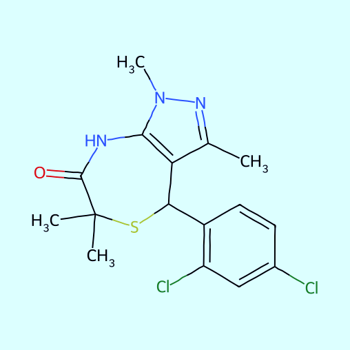 Cc1nn(C)c2c1C(c1ccc(Cl)cc1Cl)SC(C)(C)C(=O)N2